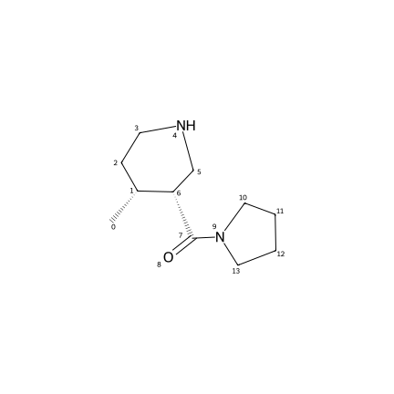 C[C@@H]1CCNC[C@@H]1C(=O)N1CCCC1